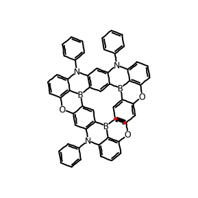 c1ccc(N2c3cc4c(cc3B3c5ccccc5Oc5cccc2c53)B2c3cc5c(cc3N(c3ccccc3)c3cccc(c32)O4)N(c2ccccc2)c2cccc3c2B5c2ccccc2O3)cc1